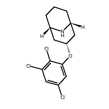 Clc1cc(Cl)c(Cl)c(O[C@H]2C[C@H]3CCC[C@@H](C2)N3)c1